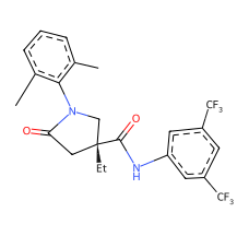 CC[C@@]1(C(=O)Nc2cc(C(F)(F)F)cc(C(F)(F)F)c2)CC(=O)N(c2c(C)cccc2C)C1